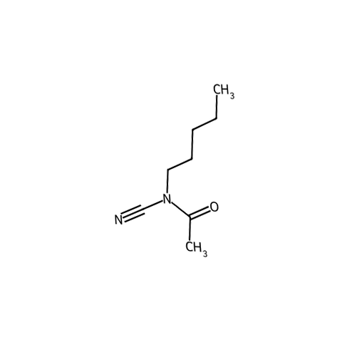 CCCCCN(C#N)C(C)=O